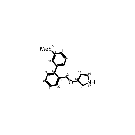 CSc1cccc(-c2ccccc2COC2CCNC2)c1